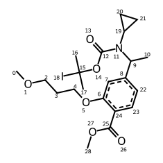 COCCCOc1cc(C(C)N(C(=O)OC(C)(C)I)C2CC2)ccc1C(=O)OC